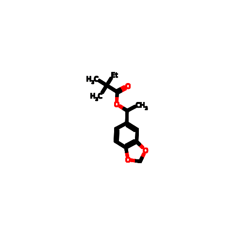 CCC(C)(C)C(=O)OC(C)c1ccc2c(c1)OCO2